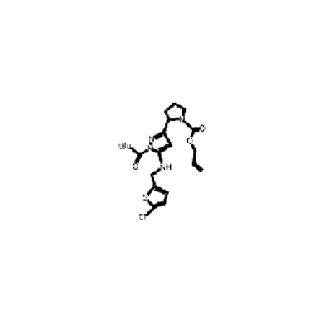 C=CCOC(=O)N1CCCC1c1cc(NCc2ccc(Cl)s2)n(C(=O)C(C)(C)C)n1